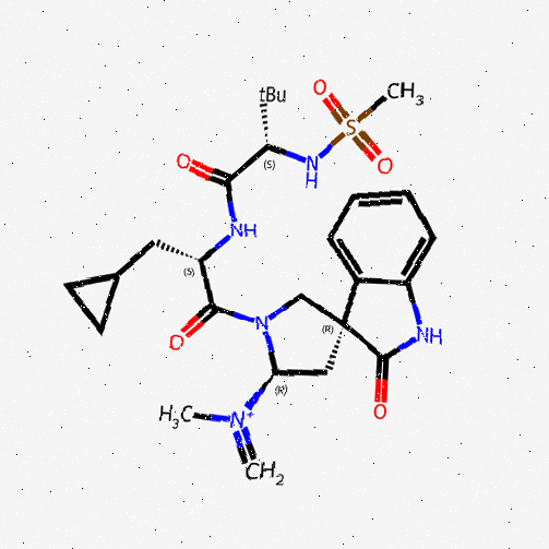 C=[N+](C)[C@@H]1C[C@@]2(CN1C(=O)[C@H](CC1CC1)NC(=O)[C@@H](NS(C)(=O)=O)C(C)(C)C)C(=O)Nc1ccccc12